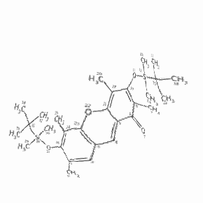 Cc1cc2cc3c(=O)c(C)c(O[Si](C)(C)C(C)(C)C)c(C)c-3oc2c(C)c1O[Si](C)(C)C(C)(C)C